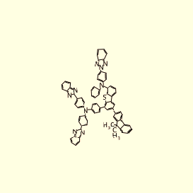 CC1(C)c2ccccc2-c2ccc(-c3cc(-c4ccc(N(c5ccc(C6N=c7ccccc7=N6)cc5)c5ccc(C6N=c7ccccc7=N6)cc5)cc4)c4sc5c(N(c6ccccc6)c6ccc(-n7nc8ccccc8n7)cc6)cccc5c4c3)cc21